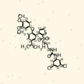 COc1ccc(Oc2ccc(C(C)C)cc2-c2ccsc2S(=O)(=O)NCCNC(=O)Nc2cc(Cl)cc(Cl)c2)cc1OC